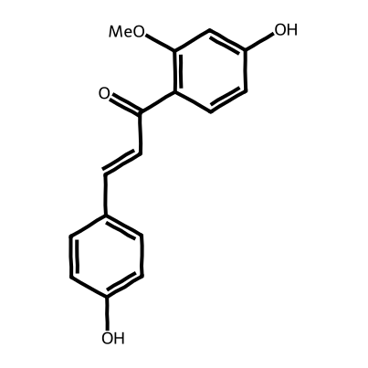 COc1cc(O)ccc1C(=O)C=Cc1ccc(O)cc1